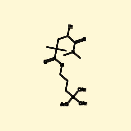 CCC(CC(C)(C)C(=O)OCCC[Si](OC(C)=O)(OC(C)=O)OC(C)=O)C(=O)N(C)C